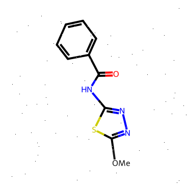 COc1nnc(NC(=O)c2ccccc2)s1